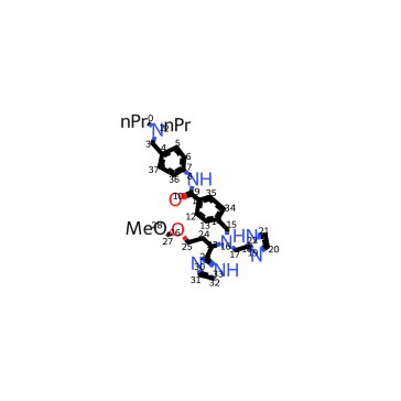 CCCN(CCC)Cc1ccc(NC(=O)c2ccc(CN(Cc3ncc[nH]3)C(CCOCOC)c3ncc[nH]3)cc2)cc1